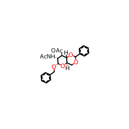 CC(=O)N[C@H]1[C@@H](OCc2ccccc2)O[C@@H]2COC(c3ccccc3)O[C@H]2[C@@H]1OC(C)=O